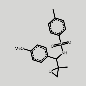 COc1ccc(C(NS(=O)(=O)c2ccc(C)cc2)[C@]2(C)CO2)cc1